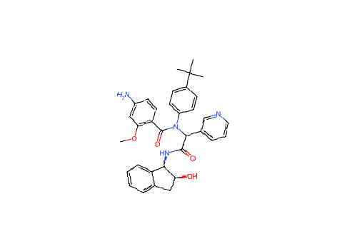 COc1cc(N)ccc1C(=O)N(c1ccc(C(C)(C)C)cc1)C(C(=O)N[C@@H]1c2ccccc2C[C@@H]1O)c1cccnc1